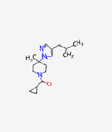 CC(C)Cc1cnn(C2(C)CCN(C(=O)C3CC3)CC2)c1